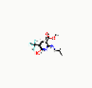 CCCNc1nc(O)c(C(F)(F)F)cc1C(=O)OC